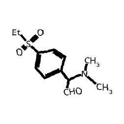 CCS(=O)(=O)c1ccc(C(C=O)N(C)C)cc1